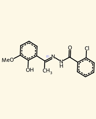 COc1cccc(/C(C)=N/NC(=O)c2ccccc2Cl)c1O